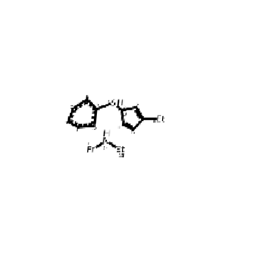 CCC1=C[C]([SiH2]c2ccccc2)C=C1.CCNCC